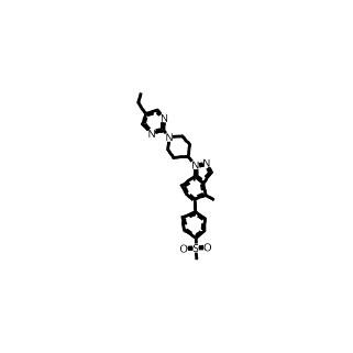 CCc1cnc(N2CCC(n3ncc4c(C)c(-c5ccc(S(C)(=O)=O)cc5)ccc43)CC2)nc1